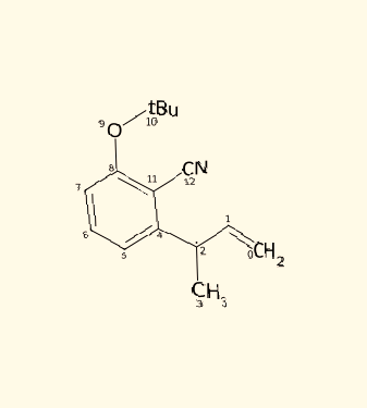 C=C[C](C)c1cccc(OC(C)(C)C)c1C#N